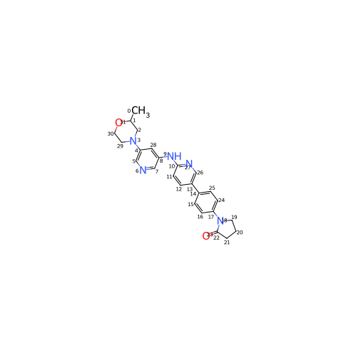 CC1CN(c2cncc(Nc3ccc(-c4ccc(N5CCCC5=O)cc4)cn3)c2)CCO1